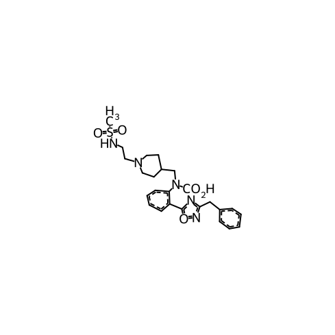 CS(=O)(=O)NCCN1CCC(CN(C(=O)O)c2ccccc2-c2nc(Cc3ccccc3)no2)CC1